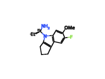 C[CH][C@@H](N)n1c2c(c3cc(F)c(OC)cc31)CCC2